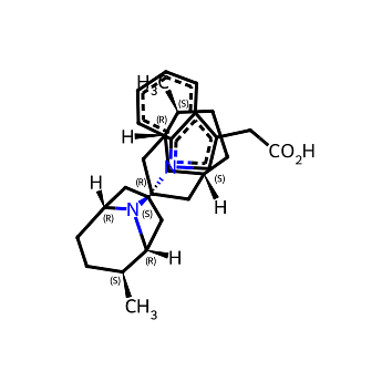 C[C@H]1CC[C@H]2C[C@@H]1C[C@H](N1[C@@H]3CC[C@H](C)[C@H]1C[C@@H](n1cc(CC(=O)O)c4ccccc41)C3)C2